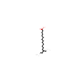 CCCC(CC)CCCCCCCCCCCCC(=O)O